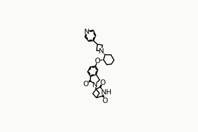 O=C1NC(=O)C2(N3Cc4cc(O[C@@H]5CCCC[C@H]5N5CC(c6ccncc6)C5)ccc4C3=O)CC1C2